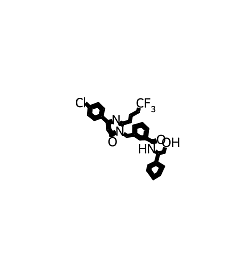 O=C(NC(CO)c1ccccc1)c1cccc(Cn2c(CCCC(F)(F)F)nc(-c3ccc(Cl)cc3)cc2=O)c1